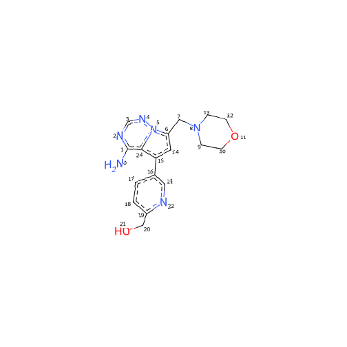 Nc1ncnn2c(CN3CCOCC3)cc(-c3ccc(CO)nc3)c12